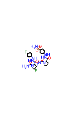 NC(=O)N1CCCC1C(=O)NNc1ccc(S(N)(=O)=O)cc1.NC(=O)N1C[C@@H](F)C[C@H]1C(=O)NNc1ccc(F)cc1